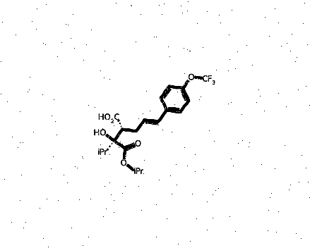 CC(C)OC(=O)[C@](O)(C(C)C)[C@@H](CC=Cc1ccc(OC(F)(F)F)cc1)C(=O)O